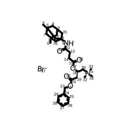 CC12CC3CC(C)(C1)CC(NC(=O)CCC(=O)O[C@H](CC(=O)OCc1ccccc1)C[N+](C)(C)C)(C3)C2.[Br-]